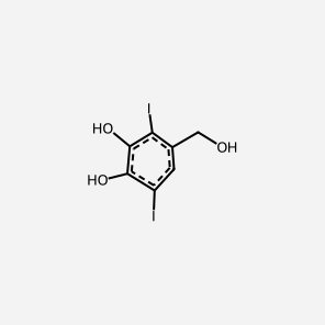 OCc1cc(I)c(O)c(O)c1I